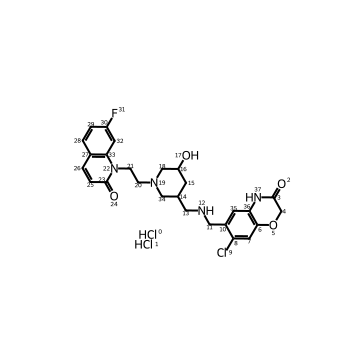 Cl.Cl.O=C1COc2cc(Cl)c(CNCC3CC(O)CN(CCn4c(=O)ccc5ccc(F)cc54)C3)cc2N1